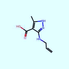 C=CCNc1n[nH]c(C)c1C(=O)O